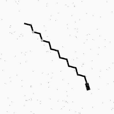 C#CCCCCCCCCCOCOCC